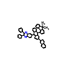 CC1(C)c2ccccc2-c2c(-c3c4ccccc4c(-c4ccc5nc(-c6ccccc6)c(-c6ccccc6)nc5c4)c4ccc(-c5ccc6ccccc6c5)cc34)cccc21